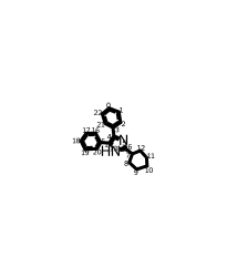 c1ccc(-c2nc(C3CCCCC3)[nH]c2-c2ccccc2)cc1